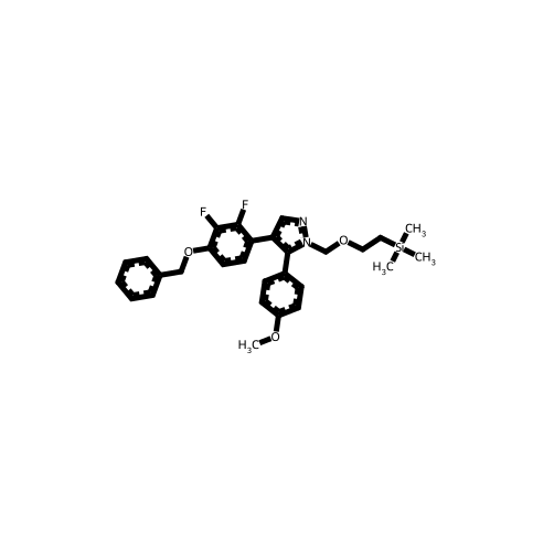 COc1ccc(-c2c(-c3ccc(OCc4ccccc4)c(F)c3F)cnn2COCC[Si](C)(C)C)cc1